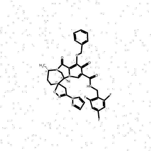 C[C@H]1CC[C@]2(CC(n3cccn3)=NO2)[C@H]2CN1C(=O)c1c(OCc3ccccc3)c(=O)c(C(=O)NCc3c(F)cc(F)cc3F)cn12